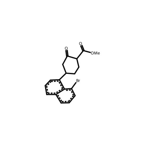 COC(=O)C1CCC(c2cccc3cccc(Br)c23)CC1=O